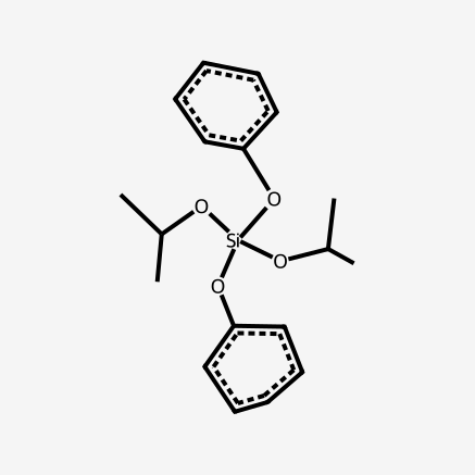 CC(C)O[Si](Oc1ccccc1)(Oc1ccccc1)OC(C)C